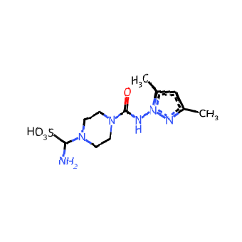 Cc1cc(C)n(NC(=O)N2CCN(C(N)S(=O)(=O)O)CC2)n1